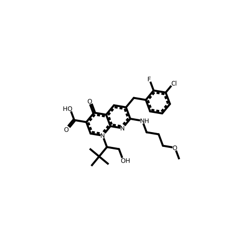 COCCCNc1nc2c(cc1Cc1cccc(Cl)c1F)c(=O)c(C(=O)O)cn2C(CO)C(C)(C)C